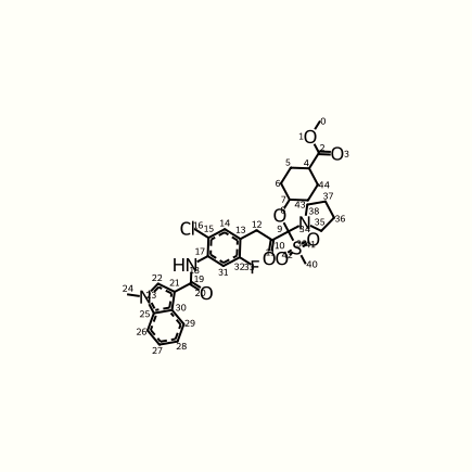 COC(=O)C1CCC(OC(C(=O)Cc2cc(Cl)c(NC(=O)c3cn(C)c4ccccc34)cc2F)(N2CCCC2)S(C)(=O)=O)CC1